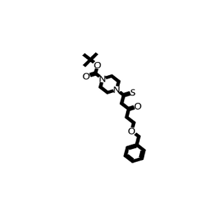 CC(C)(C)OC(=O)N1CCN(C(=S)CC(=O)CCOCc2ccccc2)CC1